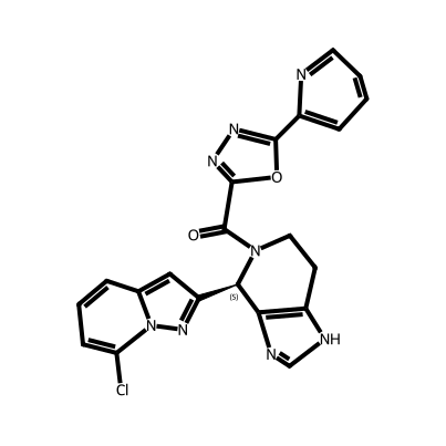 O=C(c1nnc(-c2ccccn2)o1)N1CCc2[nH]cnc2[C@H]1c1cc2cccc(Cl)n2n1